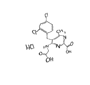 Cc1nc(C(=O)O)nc(NCC(=O)O)c1Cc1ccc(Cl)cc1Cl.Cl